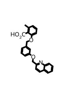 Cc1cccc(OCc2cccc(OCc3ccc4ccccc4n3)c2)c1C(=O)O